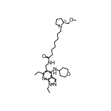 CCc1nc2c(cnn2CC)c(NC2CCOCC2)c1CNC(=O)CCCCCCCN1CCC[C@H]1COC